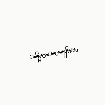 CC(C)(C)OC(=O)NCCCOCCOCCOCNC(=O)CCl